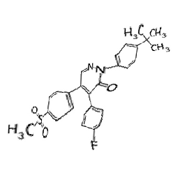 CC(C)(C)c1ccc(-n2ncc(-c3ccc(S(C)(=O)=O)cc3)c(-c3ccc(F)cc3)c2=O)cc1